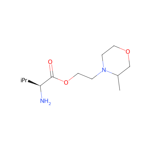 CC(C)[C@H](N)C(=O)OCCN1CCOCC1C